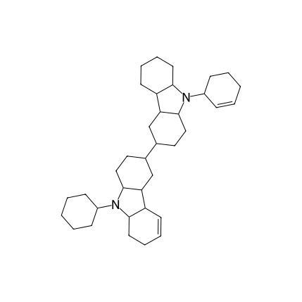 C1=CC(N2C3CCCCC3C3CC(C4CCC5C(C4)C4C=CCCC4N5C4CCCCC4)CCC32)CCC1